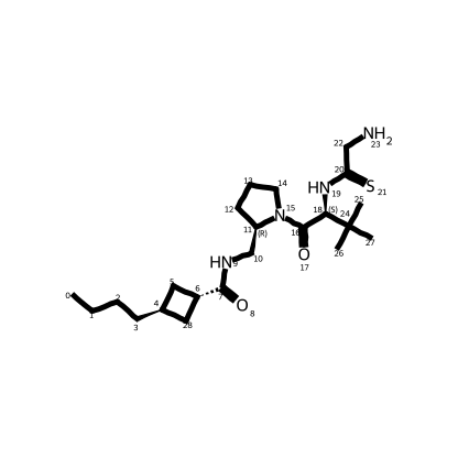 CCCC[C@H]1C[C@H](C(=O)NC[C@H]2CCCN2C(=O)[C@@H](NC(=S)CN)C(C)(C)C)C1